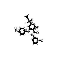 O=C(Nc1ccc[n+]([O-])c1)c1c(F)cc(C(F)(F)C2CC2)cc1Oc1ccc(OC(F)(F)F)cc1